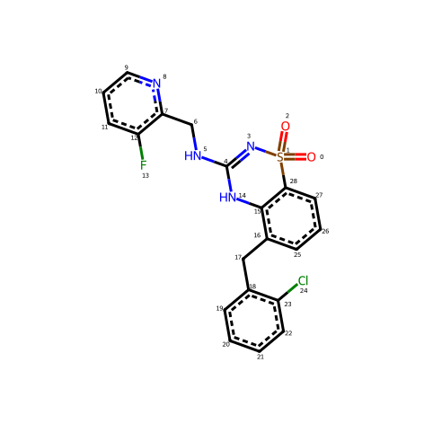 O=S1(=O)N=C(NCc2ncccc2F)Nc2c(Cc3ccccc3Cl)cccc21